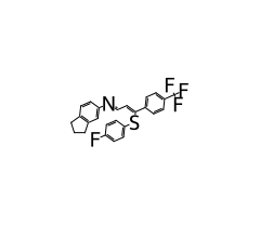 Fc1ccc(SC(=CC=Nc2ccc3c(c2)CCC3)c2ccc(C(F)(F)F)cc2)cc1